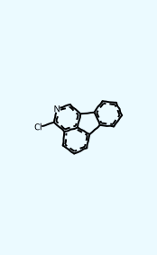 Clc1ncc2c3c(cccc13)-c1ccccc1-2